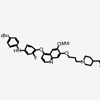 COc1cc2c(Oc3ccc(Nc4ccc(C(C)(C)C)cc4)cc3F)ccnc2cc1OCCCN1CCC(CO)CC1